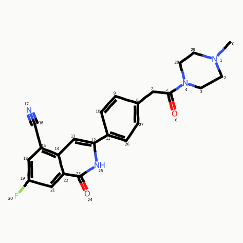 CN1CCN(C(=O)Cc2ccc(-c3cc4c(C#N)cc(F)cc4c(=O)[nH]3)cc2)CC1